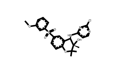 COc1cccc(S(=O)(=O)c2ccc3c(c2)[C@@H](Nc2ccnc(Cl)n2)[C@](C)(O)C(C)(C)O3)c1